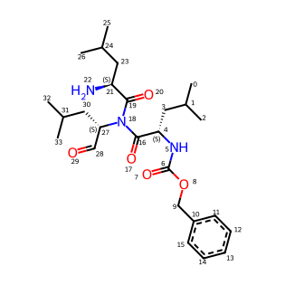 CC(C)C[C@H](NC(=O)OCc1ccccc1)C(=O)N(C(=O)[C@@H](N)CC(C)C)[C@H](C=O)CC(C)C